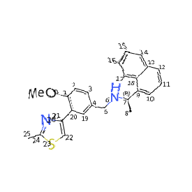 COc1ccc(CN[C@H](C)c2cccc3ccccc23)cc1-c1csc(C)n1